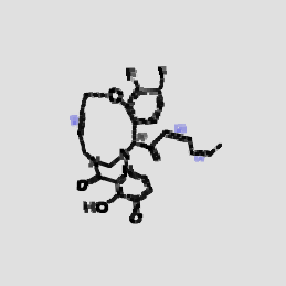 C=C(/C=C\C=C/C)[C@@H]1c2ccc(F)c(F)c2OC/C=C\CN2CN1n1ccc(=O)c(O)c1C2=O